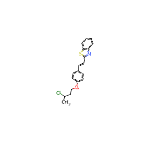 CC(Cl)CCOc1ccc(/C=C/c2nc3ccccc3s2)cc1